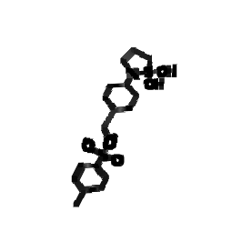 Cc1ccc(S(=O)(=O)OCC2CCC(N3CCCS3(O)O)CC2)cc1